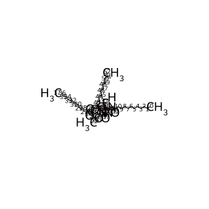 CCCCCCCCCCCC(=O)Nc1nc(=O)n([C@@H]2O[C@H](C)[C@@H](OC(=O)CCCCCCCCCCC)[C@H]2OC(=O)CCCCCCCCCCC)cc1F